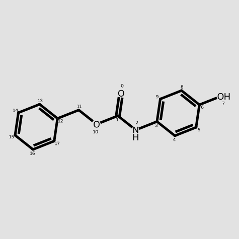 O=C(Nc1ccc(O)cc1)OCc1ccccc1